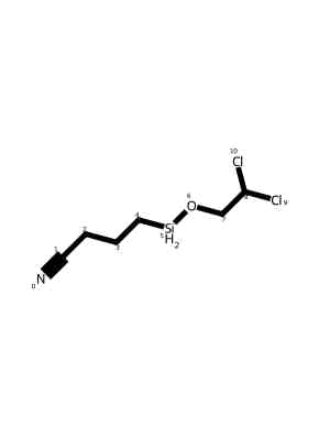 N#CCCC[SiH2]OCC(Cl)Cl